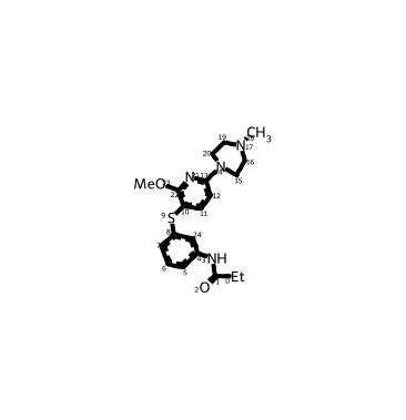 CCC(=O)Nc1cccc(Sc2ccc(N3CCN(C)CC3)nc2OC)c1